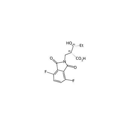 CC[C@@H](O)[C@@H](CN1C(=O)c2c(F)ccc(F)c2C1=O)C(=O)O